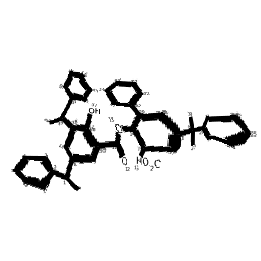 CC(c1ccccc1)c1cc(C(=O)Oc2c(C(=O)O)cc(C(C)(C)c3ccccc3)cc2-c2ccccc2)c(O)c(C(C)c2ccccc2)c1